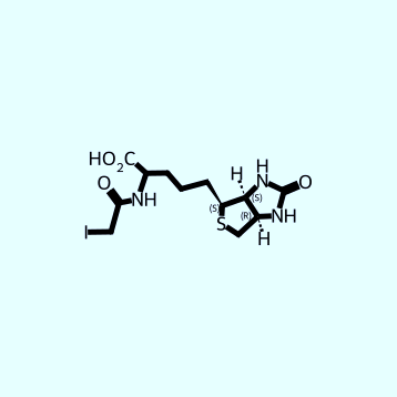 O=C(CI)NC(CCC[C@@H]1SC[C@@H]2NC(=O)N[C@@H]21)C(=O)O